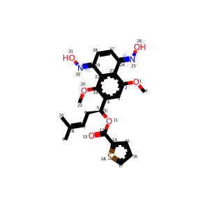 COc1cc([C@H](CC=C(C)C)OC(=O)c2cccs2)c(OC)c2c1/C(=N/O)C=C/C2=N\O